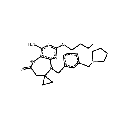 CCCCOc1nc(N)c2c(n1)N(Cc1cccc(CN3CCCC3)c1)C1(CC1)CC(=O)N2